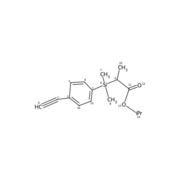 C#Cc1ccc([Si](C)(C)C(C)C(=O)OC(C)C)cc1